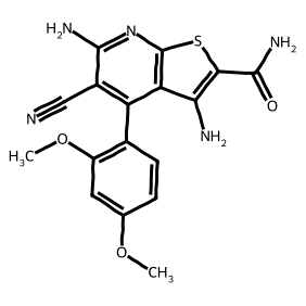 COc1ccc(-c2c(C#N)c(N)nc3sc(C(N)=O)c(N)c23)c(OC)c1